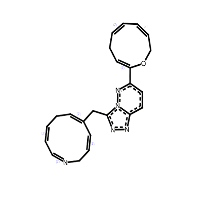 C1=C\C/C=C(Cc2nnc3ccc(/C4=C/C/C=C\C=C/CO4)nn23)\C=C/C\N=C/1